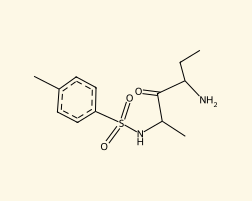 CCC(N)C(=O)C(C)NS(=O)(=O)c1ccc(C)cc1